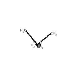 CCCCCCCCCCCCCCOCCCC(N)C(O)(CN)CCCOCCCCCCCCCCCCCC